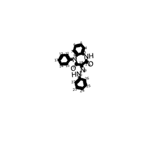 O=c1[nH]c2ccccc2n(-c2ccccc2)c(=O)c1=NNc1ccccc1